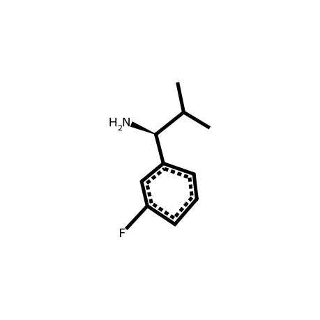 CC(C)[C@H](N)c1cccc(F)c1